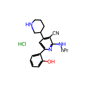 CCCNc1nc(-c2ccccc2O)cc(C2CCCNC2)c1C#N.Cl